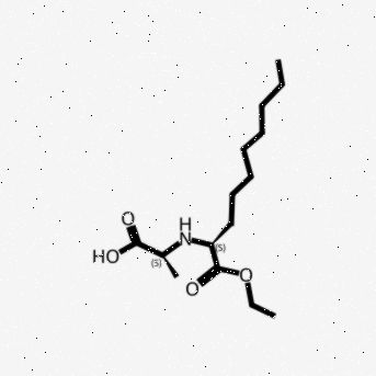 CCCCCCCC[C@H](N[C@@H](C)C(=O)O)C(=O)OCC